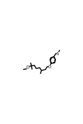 CCOC(C)(C)CCCC(C)CCOc1ccc(CSC)cc1